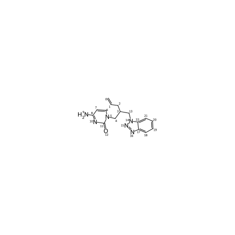 C=CCC(Cn1ccc(N)nc1=O)Cn1nnc2ccccc21